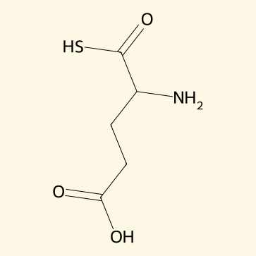 NC(CCC(=O)O)C(=O)S